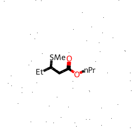 CCCOC(=O)CC(CC)SC